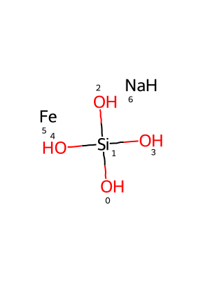 O[Si](O)(O)O.[Fe].[NaH]